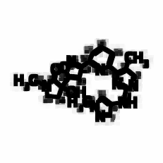 Cc1cnc(Nc2cnn(C)c2)nc1-c1cccc(-c2cc([C@]3(O)CCN(C)C3=O)on2)n1